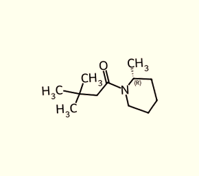 C[C@@H]1CCCCN1C(=O)CC(C)(C)C